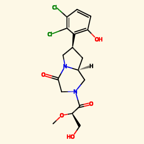 CO[C@H](CO)C(=O)N1CC(=O)N2C[C@@H](c3c(O)ccc(Cl)c3Cl)C[C@H]2C1